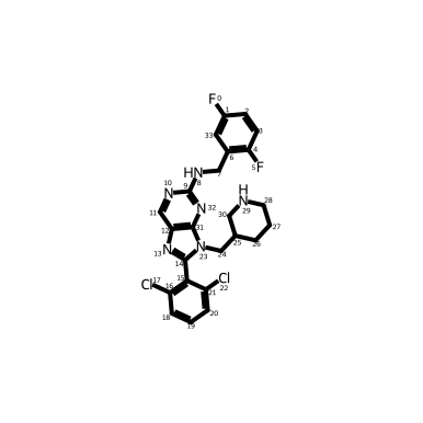 Fc1ccc(F)c(CNc2ncc3nc(-c4c(Cl)cccc4Cl)n(CC4CCCNC4)c3n2)c1